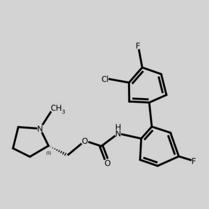 CN1CCC[C@H]1COC(=O)Nc1ccc(F)cc1-c1ccc(F)c(Cl)c1